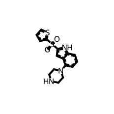 O=S(=O)(c1cc2c(N3CCNCC3)cccc2[nH]1)c1cccs1